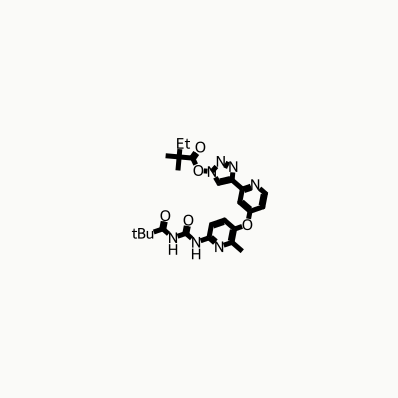 CCC(C)(C)C(=O)On1cc(-c2cc(Oc3ccc(NC(=O)NC(=O)C(C)(C)C)nc3C)ccn2)nn1